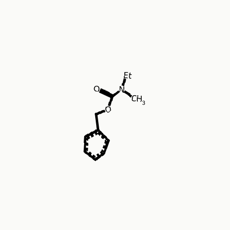 [CH2]CN(C)C(=O)OCc1ccccc1